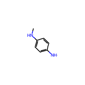 CNc1ccc([NH])cc1